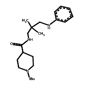 CC(C)(CNC(=O)C1CCN(C(C)(C)C)CC1)CNc1ccccc1